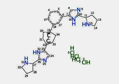 Cl.Cl.Cl.Cl.c1cc(-c2cnc(C3CCCN3)[nH]2)cc(C23CCC(c4cnc(C5CCCN5)[nH]4)(CC2)CC3)c1